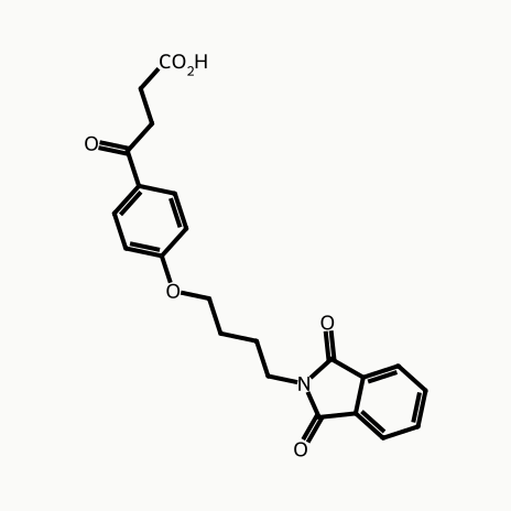 O=C(O)CCC(=O)c1ccc(OCCCCN2C(=O)c3ccccc3C2=O)cc1